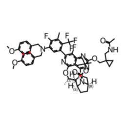 COc1ccc(CN(Cc2ccc(OC)cc2)c2cc(-c3nc4c5c(nc(OCC6(CNC(C)=O)CC6)nc5c3F)N3C[C@H]5CC[C@@H]([C@H]3[C@H](C)O4)N5C(=O)OC(C)(C)C)c(C(F)(F)F)c(C)c2F)cc1